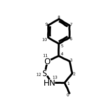 CC1CCC(c2ccccc2)OSN1